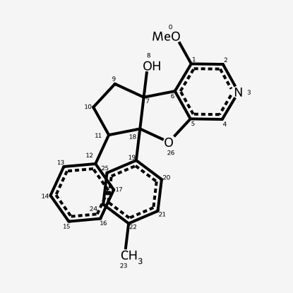 COc1cncc2c1C1(O)CCC(c3ccccc3)C1(c1ccc(C)cc1)O2